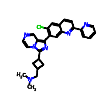 CN(C)CC1CC(c2nc(-c3cc4nc(-c5ccccn5)ccc4cc3Cl)c3cnccn23)C1